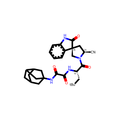 CC(C)(C)C[C@H](NC(=O)C(=O)NC12CC3CC(C1)C(C3)C2)C(=O)N1C[C@]2(C[C@H]1C#N)C(=O)Nc1ccccc12